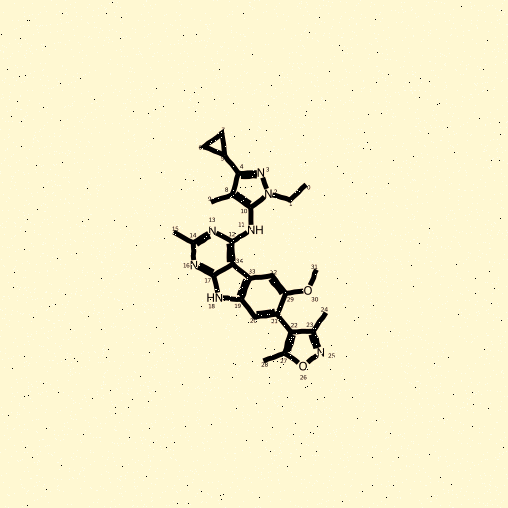 CCn1nc(C2CC2)c(C)c1Nc1nc(C)nc2[nH]c3cc(-c4c(C)noc4C)c(OC)cc3c12